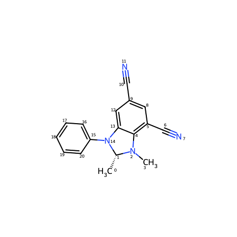 C[C@H]1N(C)c2c(C#N)cc(C#N)cc2N1c1ccccc1